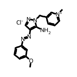 COc1cccc(N=Nc2cnn(Cc3ccc[n+](C)c3)c2N)c1.[Cl-]